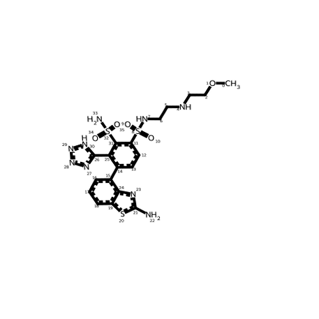 COCCNCCNS(=O)(=O)c1ccc(-c2cccc3sc(N)nc23)c(-c2nnn[nH]2)c1S(N)(=O)=O